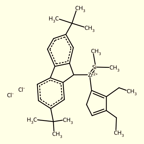 CCC1=CC[C]([Zr+2]([CH]2c3cc(C(C)(C)C)ccc3-c3ccc(C(C)(C)C)cc32)=[Si](C)C)=C1CC.[Cl-].[Cl-]